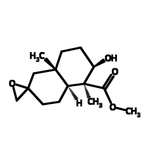 COC(=O)[C@]1(C)[C@H](O)CC[C@@]2(C)CC3(CC[C@@H]21)CO3